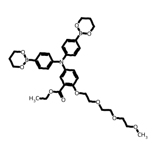 CCOC(=O)c1cc(N(c2ccc(B3OCCCO3)cc2)c2ccc(B3OCCCO3)cc2)ccc1OCCOCCOCCOC